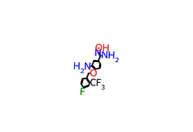 NC(=NO)c1ccc(OCc2ccc(F)cc2C(F)(F)F)c(N)c1